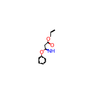 C=CCOC(=O)CC(=N)Oc1ccccc1